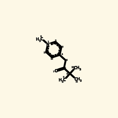 C[n+]1ccc(CC(=O)C(C)(C)C)cc1